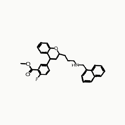 COC(=O)c1cc(C2CC(CCCNCc3cccc4ccccc34)Oc3ccccc32)ccc1F